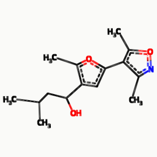 Cc1noc(C)c1-c1cc(C(O)CC(C)C)c(C)o1